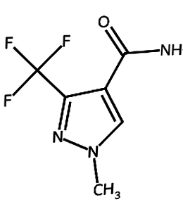 Cn1cc(C([NH])=O)c(C(F)(F)F)n1